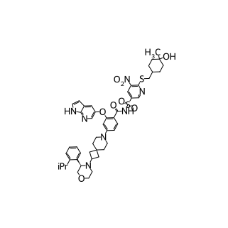 CC(C)c1ccccc1[C@@H]1COCCN1C1CC2(CCN(c3ccc(C(=O)NS(=O)(=O)c4cnc(SCC5CCC(C)(O)CC5)c([N+](=O)[O-])c4)c(Oc4cnc5[nH]ccc5c4)c3)CC2)C1